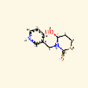 OC1CCSC(=S)N1Cc1cccnc1